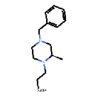 CNCCN1CCN(Cc2ccccc2)C[C@H]1C